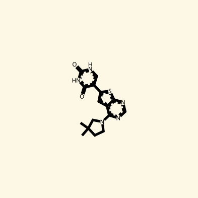 CC1(C)CCN(c2ncnc3sc(-c4c[nH]c(=O)[nH]c4=O)cc23)C1